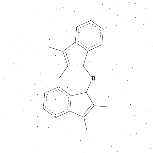 CC1=C(C)[CH]([Ti][CH]2C(C)=C(C)c3ccccc32)c2ccccc21